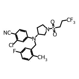 Cc1ccc(F)cc1CN(c1ccc(C#N)c(Cl)c1)[C@H]1CCN(S(=O)(=O)CCC(F)(F)F)C1